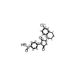 O=C1CC(N2CCCc3cc(Cl)ccc32)C(=O)N1c1ccc(S(=O)O)cc1